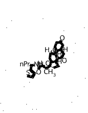 CCCC(NC(=O)C[C@@H](C)[C@H]1CC[C@H]2[C@@H]3C(=O)C[C@@H]4CC(=O)CC[C@]4(C)[C@H]3CC[C@]12C)c1cccs1